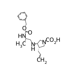 C=CC[C@H]1CN(C(=O)O)C[C@@H]1NCC(C)NC(=O)OCc1ccccc1